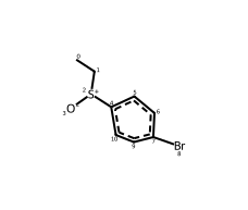 CC[S+]([O-])c1ccc(Br)cc1